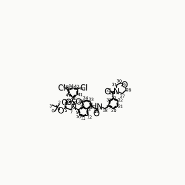 CC(C)(C)OC(=O)CN(c1cccc2c(C(=O)NCc3cccc(C(=O)N4CCOCC4)c3)cccc12)S(=O)(=O)c1cc(Cl)cc(Cl)c1